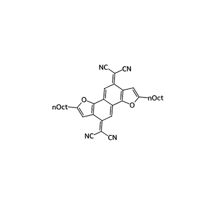 CCCCCCCCc1cc2c(=C(C#N)C#N)cc3c(cc(=C(C#N)C#N)c4cc(CCCCCCCC)oc43)c2o1